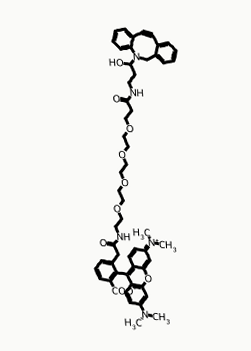 CN(C)c1ccc2c(-c3c(CC(=O)NCCOCCOCCOCCOCCC(=O)NCCC(O)N4Cc5ccccc5C#Cc5ccccc54)cccc3C(=O)[O-])c3ccc(=[N+](C)C)cc-3oc2c1